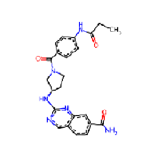 CCC(=O)Nc1ccc(C(=O)N2CC[C@@H](Nc3ncc4ccc(C(N)=O)cc4n3)C2)cc1